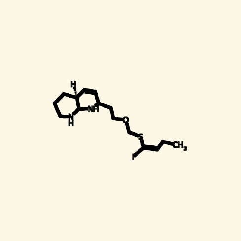 CC/C=C(/I)SCOCCC1C=C[C@@H]2CCCNC2N1